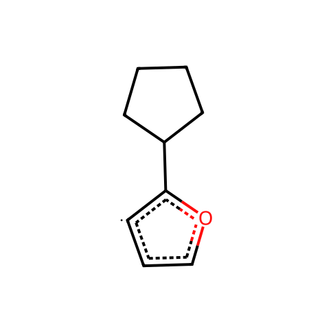 [c]1ccoc1C1CCCC1